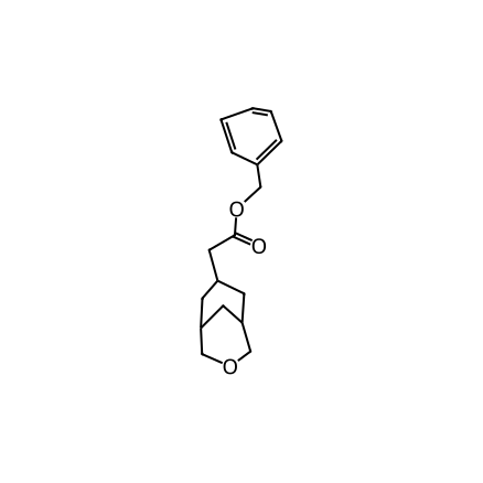 O=C(CC1CC2COCC(C2)C1)OCc1ccccc1